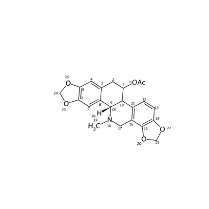 CC(=O)OC1Cc2cc3c(cc2[C@@H]2C1c1ccc4c(c1CN2C)OCO4)OCO3